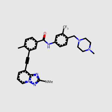 CNc1nc2c(C#Cc3cc(C(=O)Nc4ccc(CN5CCN(C)CC5)c(C(F)(F)F)c4)ccc3C)cccn2n1